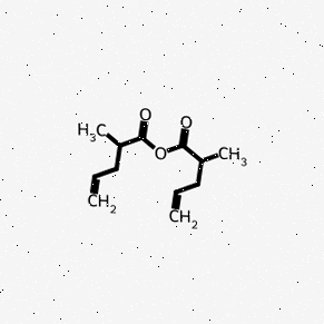 C=CCC(C)C(=O)OC(=O)C(C)CC=C